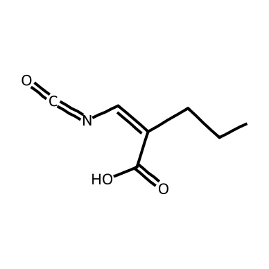 CCCC(=CN=C=O)C(=O)O